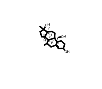 CC1CC2=CC(O)CC[C@]2(CO)[C@@H]2CC[C@@]3(C)[C@@H](CCC3(C)O)[C@H]12